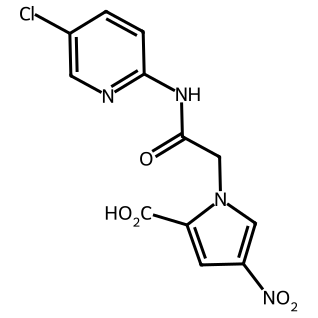 O=C(Cn1cc([N+](=O)[O-])cc1C(=O)O)Nc1ccc(Cl)cn1